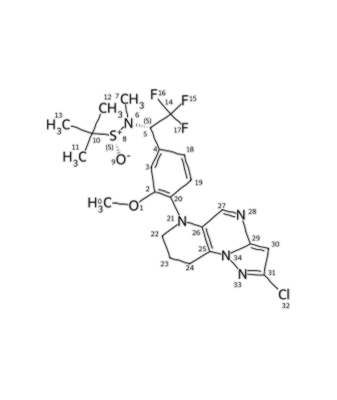 COc1cc([C@H](N(C)[S@+]([O-])C(C)(C)C)C(F)(F)F)ccc1N1CCCc2c1cnc1cc(Cl)nn21